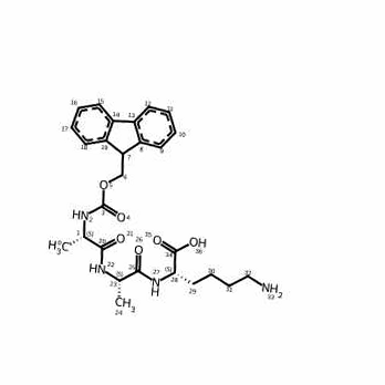 C[C@H](NC(=O)OCC1c2ccccc2-c2ccccc21)C(=O)N[C@@H](C)C(=O)N[C@@H](CCCCN)C(=O)O